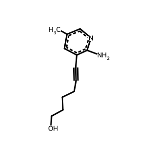 Cc1cnc(N)c(C#CCCCCO)c1